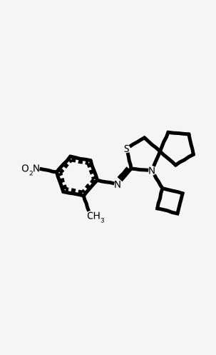 Cc1cc([N+](=O)[O-])ccc1N=C1SCC2(CCCC2)N1C1CCC1